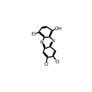 CCc1ccc(O)c2nc3cc(Cl)c(Cl)cc3nc12